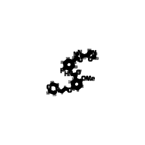 COc1ccc(OCCN2CCOCC2)cc1C(=O)Nc1cc(-c2nnc(-c3cnco3)o2)ccc1F